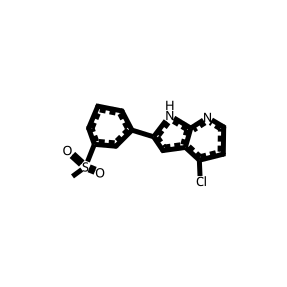 CS(=O)(=O)c1cccc(-c2cc3c(Cl)ccnc3[nH]2)c1